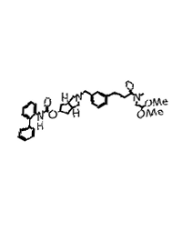 COC(CN(C)C(=O)CCc1cccc(CN2C[C@H]3C[C@H](OC(=O)Nc4ccccc4-c4ccccc4)C[C@H]3C2)c1)OC